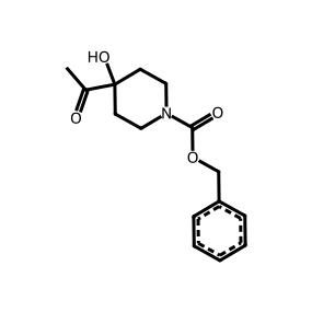 CC(=O)C1(O)CCN(C(=O)OCc2ccccc2)CC1